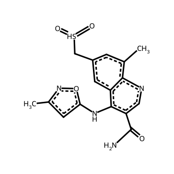 Cc1cc(Nc2c(C(N)=O)cnc3c(C)cc(C[SH](=O)=O)cc23)on1